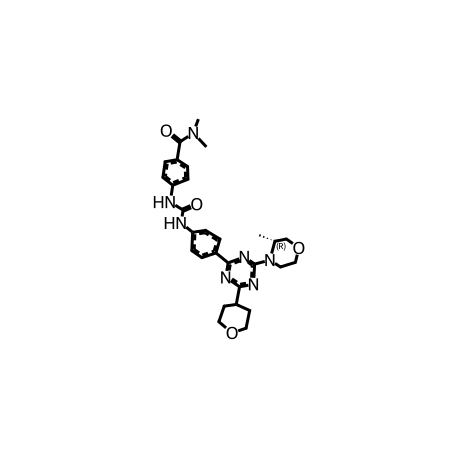 C[C@@H]1COCCN1c1nc(-c2ccc(NC(=O)Nc3ccc(C(=O)N(C)C)cc3)cc2)nc(C2CCOCC2)n1